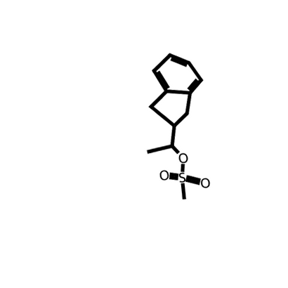 CC(OS(C)(=O)=O)C1Cc2ccccc2C1